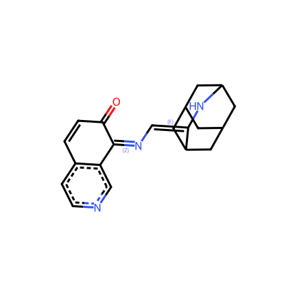 O=C1C=Cc2ccncc2/C1=N/C=C1/NC2CC3CC(C2)CC1C3